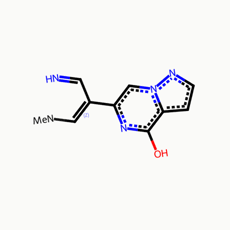 CN/C=C(\C=N)c1cn2nccc2c(O)n1